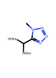 CCCCCCC(CCCCCC)c1nnnn1C